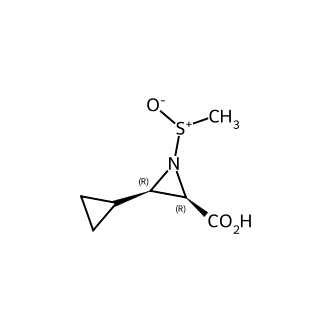 C[S+]([O-])N1[C@H](C2CC2)[C@@H]1C(=O)O